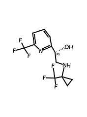 O[C@H](CNC1(C(F)(F)F)CC1)c1cccc(C(F)(F)F)n1